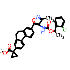 COC(=O)C1(c2ccc3c(c2)CCc2cc(-c4onc(C)c4NC(=O)O[C@H](C)c4ccccc4Cl)ccc2-3)CC1